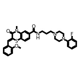 COc1ccccc1C=C1Sc2ccc(C(=O)NCCCN3CCN(c4ccccc4F)CC3)cc2N(C)C1=O